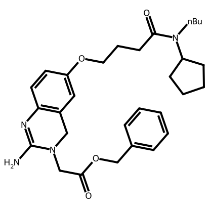 CCCCN(C(=O)CCCOc1ccc2c(c1)CN(CC(=O)OCc1ccccc1)C(N)=N2)C1CCCC1